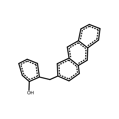 Oc1ccccc1Cc1ccc2cc3ccccc3cc2c1